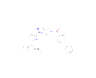 CC(C)c1nc(-c2nnc3n2CCN(C(=O)c2ccc(-c4cccs4)cc2)C3)co1